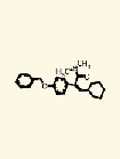 CN(C)C(=O)C(=CC1CCCCC1)c1ccc(OCc2ccccc2)cc1